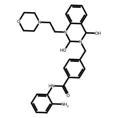 Nc1ccccc1NC(=O)c1ccc(CN2C(O)c3ccccc3N(CCN3CCOCC3)C2O)cc1